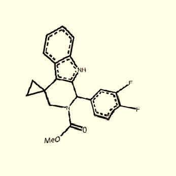 COC(=O)N1CC2(CC2)c2c([nH]c3ccccc23)C1c1ccc(F)c(F)c1